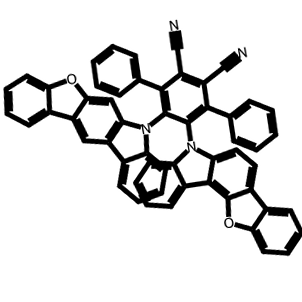 N#Cc1c(C#N)c(-c2ccccc2)c(-n2c3ccccc3c3c4oc5ccccc5c4ccc32)c(-n2c3ccccc3c3cc4c(cc32)oc2ccccc24)c1-c1ccccc1